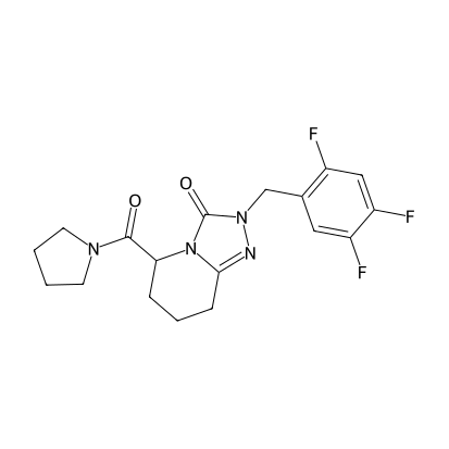 O=C(C1CCCc2nn(Cc3cc(F)c(F)cc3F)c(=O)n21)N1CCCC1